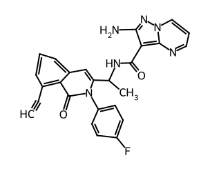 C#Cc1cccc2cc(C(C)NC(=O)c3c(N)nn4cccnc34)n(-c3ccc(F)cc3)c(=O)c12